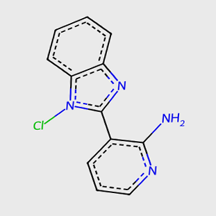 Nc1ncccc1-c1nc2ccccc2n1Cl